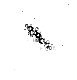 CC(C)(C)OC(=O)N1CCC(O)(c2ccc3c(c2)C(=O)N(C2CCC(=O)NC2=O)C3=O)CC1